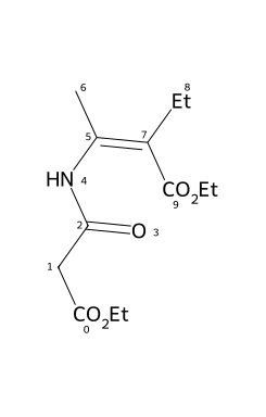 CCOC(=O)CC(=O)NC(C)=C(CC)C(=O)OCC